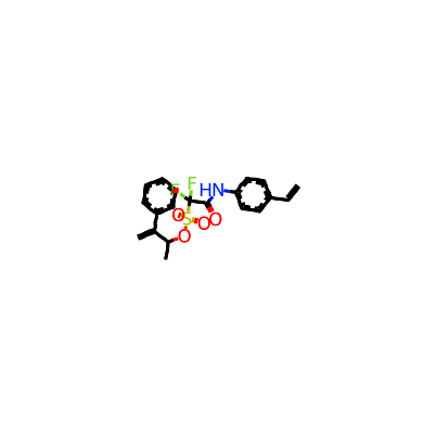 C=Cc1ccc(NC(=O)C(F)(F)S(=O)(=O)OC(C)C(=C)c2ccccc2)cc1